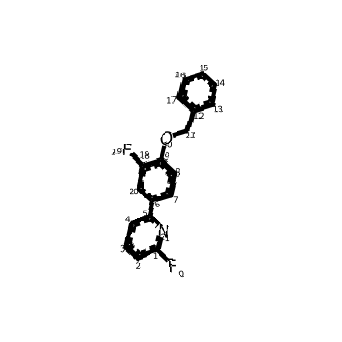 Fc1cccc(-c2ccc(OCc3ccccc3)c(F)c2)n1